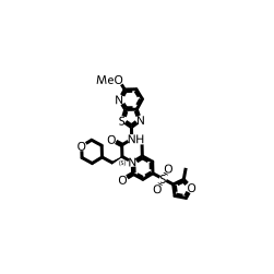 COc1ccc2nc(NC(=O)[C@H](CC3CCOCC3)n3c(C)cc(S(=O)(=O)c4ccoc4C)cc3=O)sc2n1